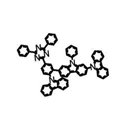 c1ccc(-c2nc(-c3ccccc3)nc(-c3ccc(-n4c5ccccc5c5ccccc54)c(-c4ccc5c6ccc(-n7c8ccccc8c8ccccc87)cc6n(-c6ccccc6)c5c4)c3)n2)cc1